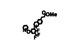 COC(=O)CCc1ccc2c(c1)CCN(c1cc(Oc3ccccn3)cc(C(F)F)c1F)C2